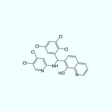 Oc1c(C(Nc2cc(Cl)c(Cl)cn2)c2cc(Cl)cc(Cl)c2Cl)ccc2cccnc12